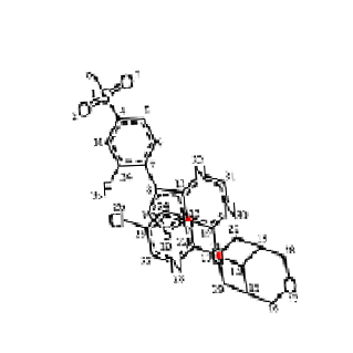 CS(=O)(=O)c1ccc(-c2csc3c(OC4C5COCC4CN(c4ncc(Cl)cn4)C5)ncnc23)c(F)c1